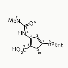 CCCCCc1cc(NC(=O)NC)c(C(=O)O)s1